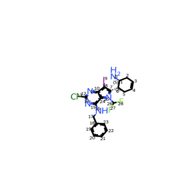 N[C@H]1CC=CC[C@@H]1c1c(I)c2nc(Cl)nc(NCc3ccccc3)c2n1C(F)F